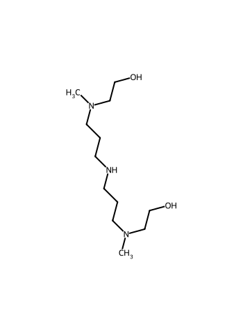 CN(CCO)CCCNCCCN(C)CCO